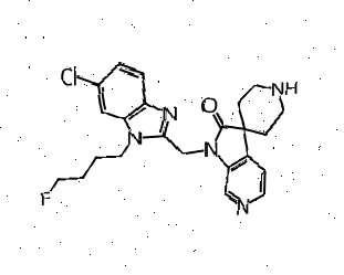 O=C1N(Cc2nc3ccc(Cl)cc3n2CCCCF)c2cnccc2C12CCNCC2